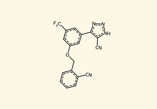 N#Cc1ccccc1COc1cc(-c2nn[nH]c2C#N)cc(C(F)(F)F)c1